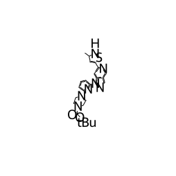 CC1C=C(c2cc3c(cn2)cnn3-c2cccc(N3CCN(C(=O)OC(C)(C)C)CC3)n2)SN1